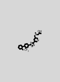 C=C(O)CN(C)Cc1cncc(-c2noc(-c3ccc(-c4ccccc4C)c(C(F)(F)F)c3)n2)c1